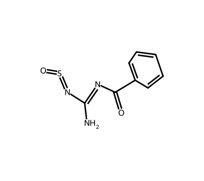 N/C(N=S=O)=N\C(=O)c1ccccc1